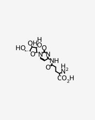 NC(CCC(=O)Nc1ccn([C@@H]2O[C@H](CO)C(O)[C@H]2O)c(=O)n1)C(=O)O